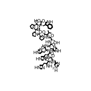 CC(C)[C@H](NC(=O)[C@H](CO)NC(=O)[C@H](Cc1c[nH]cn1)NC(=O)[C@H](Cc1c[nH]cn1)NC(=O)[C@H](Cc1c[nH]cn1)NC(=O)[C@H](Cc1c[nH]cn1)NC(=O)[C@@H](N)Cc1c[nH]cn1)C(=O)N1CCC[C@H]1C(=O)N1CCC[C@H]1C(=O)N1CCC[C@H]1C(=O)N[C@@H](Cc1c[nH]c2ccccc12)C(=O)O